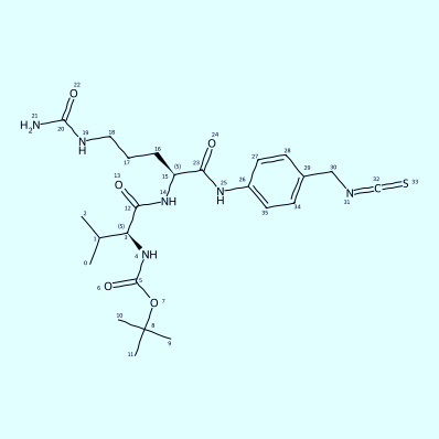 CC(C)[C@H](NC(=O)OC(C)(C)C)C(=O)N[C@@H](CCCNC(N)=O)C(=O)Nc1ccc(CN=C=S)cc1